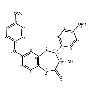 COc1ccc(Oc2ccc3c(c2)S[C@H](c2ccc(OC)cc2)[C@H](O)C(=O)N3)cc1